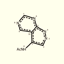 CC(=O)Nc1cnnc2ncncc12